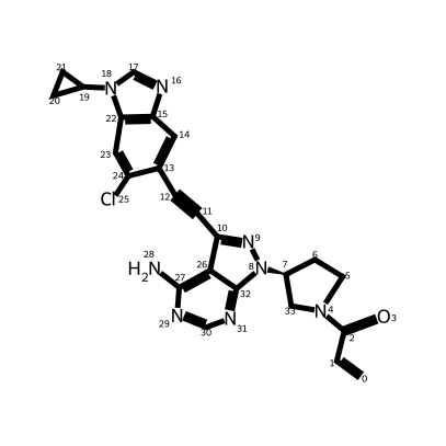 C=CC(=O)N1CC[C@H](n2nc(C#Cc3cc4ncn(C5CC5)c4cc3Cl)c3c(N)ncnc32)C1